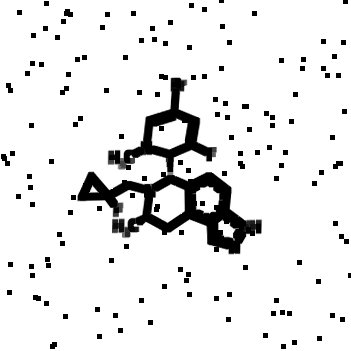 C[C@@H]1Cc2c(ccc3[nH]ncc23)[C@@H](C2C(F)=CC(Br)=CN2C)N1CC1(F)CC1